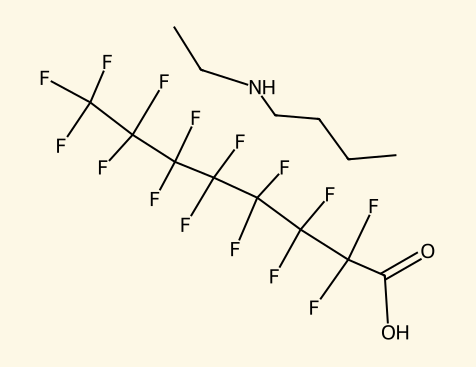 CCCCNCC.O=C(O)C(F)(F)C(F)(F)C(F)(F)C(F)(F)C(F)(F)C(F)(F)C(F)(F)F